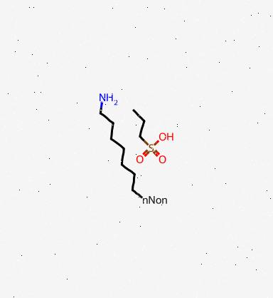 CCCCCCCCCCCCCCCCN.CCCS(=O)(=O)O